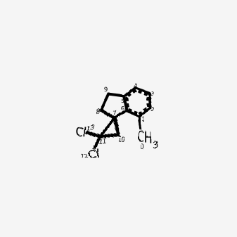 Cc1cccc2c1C1(CC2)CC1(Cl)Cl